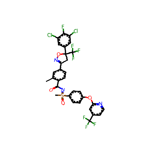 Cc1cc(C2=NOC(c3cc(Cl)c(F)c(Cl)c3)(C(F)(F)F)C2)ccc1C(=O)N=S(C)(=O)c1ccc(Oc2cc(C(F)(F)F)ccn2)cc1